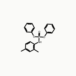 Cc1ccc(NP(=O)(Oc2ccccc2)Oc2ccccc2)c(C)c1